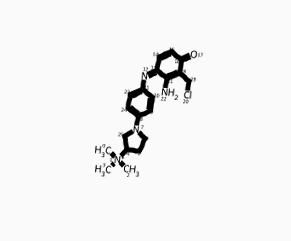 C[N+](C)(C)C1CCN(c2ccc(/N=C3/C=CC(=O)C(CCl)=C3N)cc2)C1